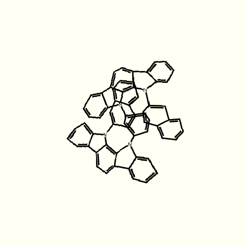 c1cc(-n2c3ccccc3c3ccc4c5ccccc5n(-c5ccc6ccccc6c5)c4c32)cc(-n2c3ccccc3c3ccc4c5ccccc5n(-c5ccc6ccccc6c5)c4c32)c1